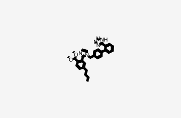 CCCCc1ccc(C(OC)OC)c(-c2nccn2Cc2ccc(-c3ccccc3-c3nnn[nH]3)cc2)c1